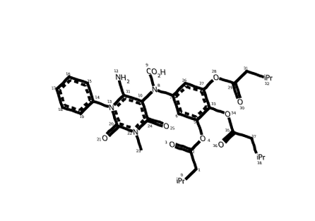 CC(C)CC(=O)Oc1cc(N(C(=O)O)c2c(N)n(-c3ccccc3)c(=O)n(C)c2=O)cc(OC(=O)CC(C)C)c1OC(=O)CC(C)C